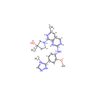 CCOc1cc(-c2nncn2C)ccc1Nc1ncc2cc(C)nc(N3CCC(C)(O)C3)c2n1